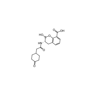 O=C1CCC(CC(=O)N[C@H]2Cc3cccc(C(=O)O)c3OB2O)CC1